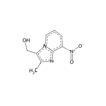 Cc1nc2c([N+](=O)[O-])cccn2c1CO